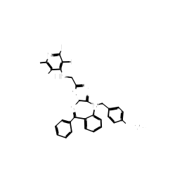 COc1ccc(CN2C(=O)[C@@H](NC(=O)[C@@H](C)Nc3c(F)c(F)nc(F)c3F)N=C(c3ccccc3)c3ccccc32)cc1